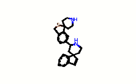 C1=CC2(CCNC(c3ccc4c(c3)C3(CCNCC3)SC4)C2)c2ccccc21